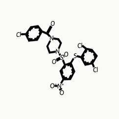 O=C(c1ccc(Cl)cc1)N1CCN(S(=O)(=O)c2cc([N+](=O)[O-])ccc2Sc2cc(Cl)ccc2Cl)CC1